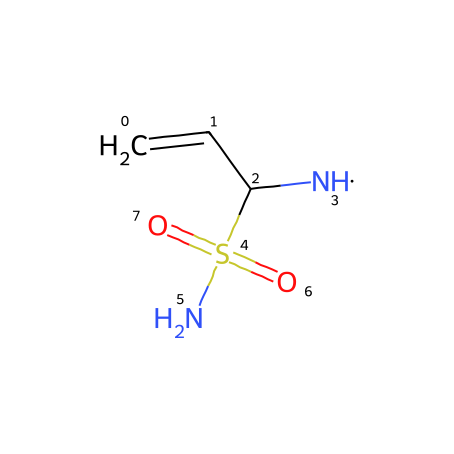 C=CC([NH])S(N)(=O)=O